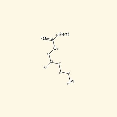 CCCC(C)C(=O)OCC(C)CCCC(C)C